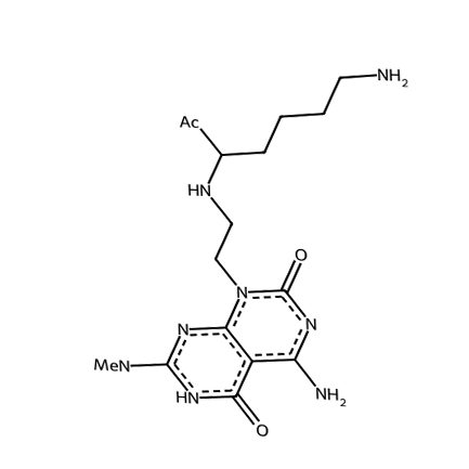 CNc1nc2c(c(N)nc(=O)n2CCNC(CCCCN)C(C)=O)c(=O)[nH]1